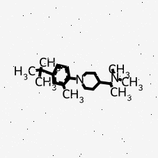 Cc1cc(C(C)(C)C)ccc1N1CCC(C(C)N(C)C)CC1